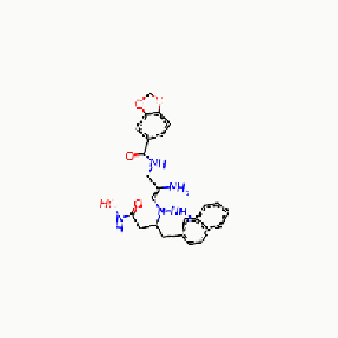 N/C(=C\N(N)C(CC(=O)NO)Cc1ccc2ccccc2c1)CNC(=O)c1ccc2c(c1)OCO2